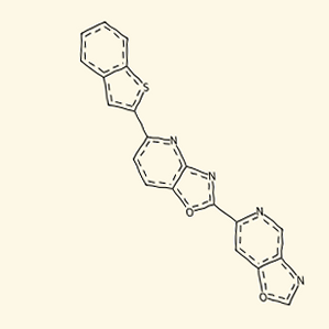 c1ccc2sc(-c3ccc4oc(-c5cc6ocnc6cn5)nc4n3)cc2c1